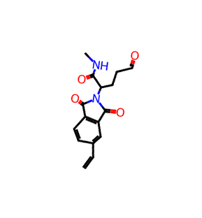 C=Cc1ccc2c(c1)C(=O)N(C(CCC=O)C(=O)NC)C2=O